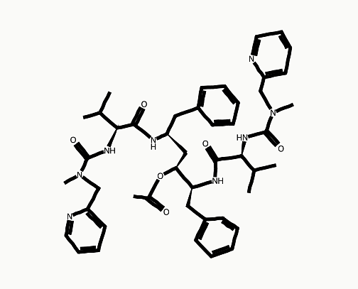 CC(=O)O[C@@H](C[C@H](Cc1ccccc1)NC(=O)[C@@H](NC(=O)N(C)Cc1ccccn1)C(C)C)[C@H](Cc1ccccc1)NC(=O)[C@@H](NC(=O)N(C)Cc1ccccn1)C(C)C